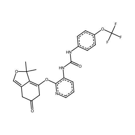 CC1(C)OC=C2CC(=O)CC(Oc3ncccc3NC(=O)Nc3ccc(OC(F)(F)F)cc3)=C21